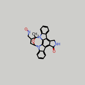 CC12OC(CC1CN=O)n1c3ccccc3c3c4c(c5c6ccccc6n2c5c31)CNC4=O